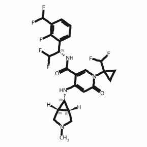 CN1C[C@@H]2[C@H](C1)[C@@H]2Nc1cc(=O)n(C2(C(F)F)CC2)cc1C(=O)N[C@@H](c1cccc(C(F)F)c1F)C(F)F